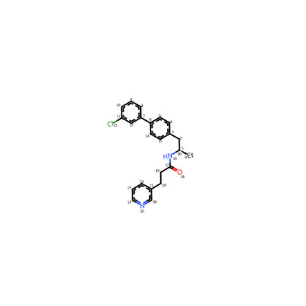 CC[C@H](Cc1ccc(-c2cccc(Cl)c2)cc1)NC(=O)CCc1cccnc1